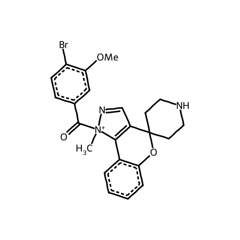 COc1cc(C(=O)[N+]2(C)N=CC3=C2c2ccccc2OC32CCNCC2)ccc1Br